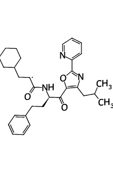 CC(C)Cc1nc(-c2ccccn2)oc1C(=O)[C@@H](CCc1ccccc1)NC(=O)[CH]CC1CCCCC1